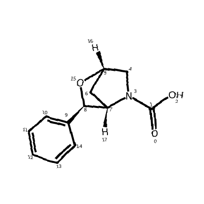 O=C(O)N1C[C@@H]2C[C@H]1[C@@H](c1ccccc1)O2